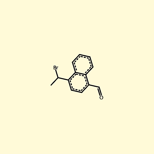 CC(Br)c1ccc(C=O)c2ccccc12